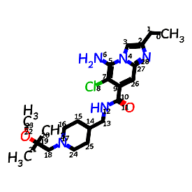 CCc1cn2c(N)c(Cl)c(C(=O)NCC3CCN(CC(C)(C)OC)CC3)cc2n1